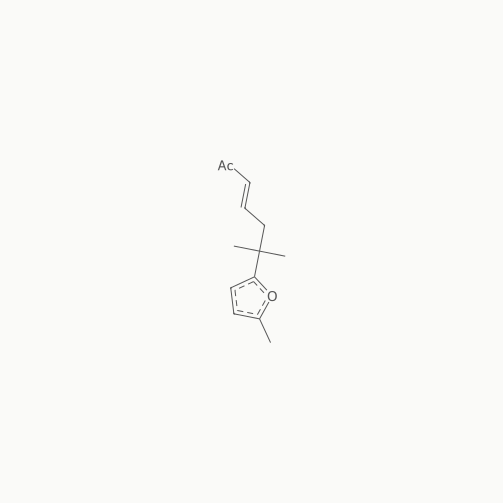 CC(=O)/C=C/CC(C)(C)c1ccc(C)o1